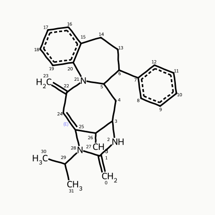 C=C1NC2CC3C(c4ccccc4)CCc4ccccc4N3C(=C)/C=C(\C2C)N1C(C)C